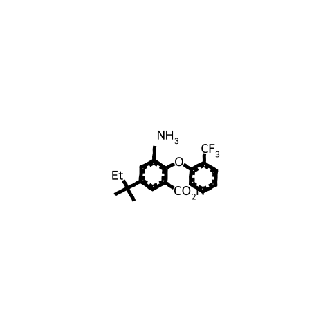 CCC(C)(C)c1cc(C)c(Oc2ccccc2C(F)(F)F)c(C(=O)O)c1.N